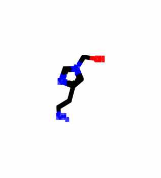 NCCc1cn(CO)cn1